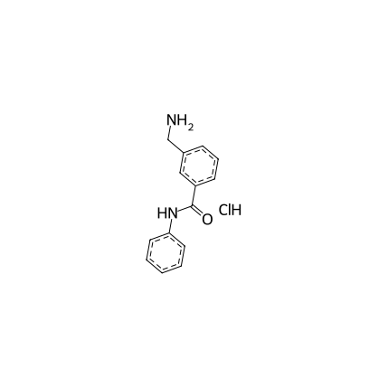 Cl.NCc1cccc(C(=O)Nc2ccccc2)c1